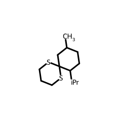 CC1CCC(C(C)C)C2(C1)SCCCS2